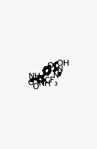 NC(=O)c1cc(-c2ccc(OC(CO)c3cnccn3)cc2)c(C(F)(F)F)[nH]c1=O